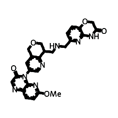 COc1ccc2ncc(=O)n(-c3cnc4c(c3)COCC4CNCc3ccc4c(n3)NC(=O)CO4)c2n1